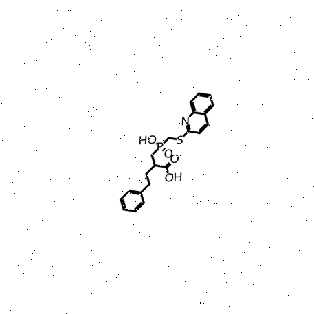 O=C(O)C(CCc1ccccc1)CP(=O)(O)CSc1ccc2ccccc2n1